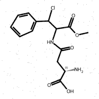 COC(=O)C(NC(=O)C[C@H](N)C(=O)O)C(Cl)c1ccccc1